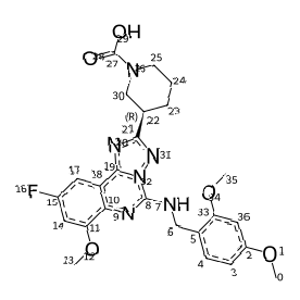 COc1ccc(CNc2nc3c(OC)cc(F)cc3c3nc([C@@H]4CCCN(C(=O)O)C4)nn23)c(OC)c1